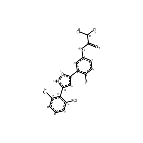 O=C(Nc1ccc(F)c(-c2cc(-c3c(Cl)cccc3Cl)no2)c1)C(Cl)Cl